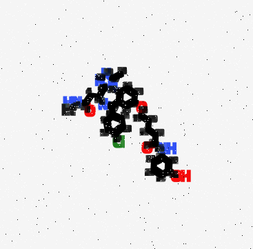 CCNC(=O)C[C@@H]1N=C(c2ccc(Cl)cc2)c2cc(OCCCCC(=O)Nc3cccc(O)c3)ccc2-n2c(C)nnc21